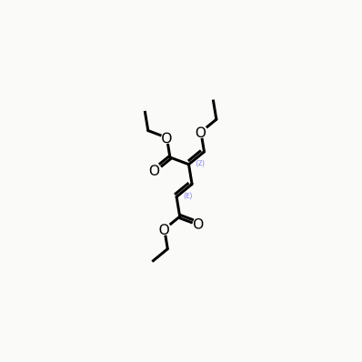 CCO/C=C(/C=C/C(=O)OCC)C(=O)OCC